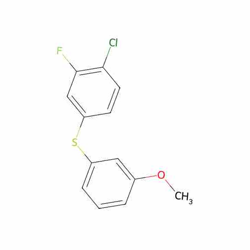 COc1cccc(Sc2ccc(Cl)c(F)c2)c1